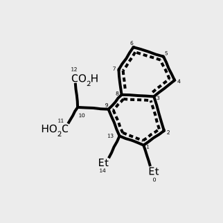 CCc1cc2ccccc2c(C(C(=O)O)C(=O)O)c1CC